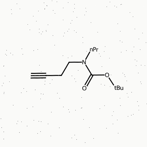 C#CCCN(CCC)C(=O)OC(C)(C)C